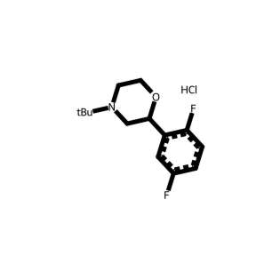 CC(C)(C)N1CCOC(c2cc(F)ccc2F)C1.Cl